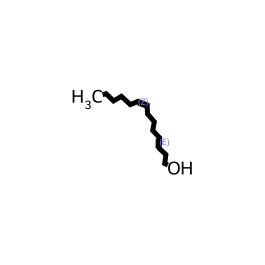 CCCCC/C=C\CCC/C=C/CCO